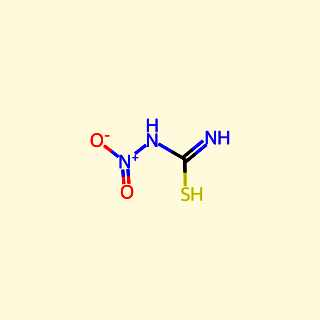 N=C(S)N[N+](=O)[O-]